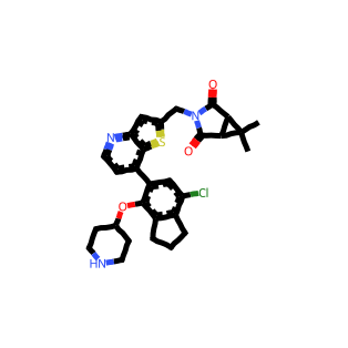 CC1(C)C2C(=O)N(Cc3cc4nccc(-c5cc(Cl)c6c(c5OC5CCNCC5)CCC6)c4s3)C(=O)C21